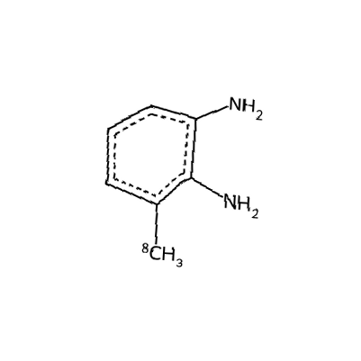 [8CH3]c1cccc(N)c1N